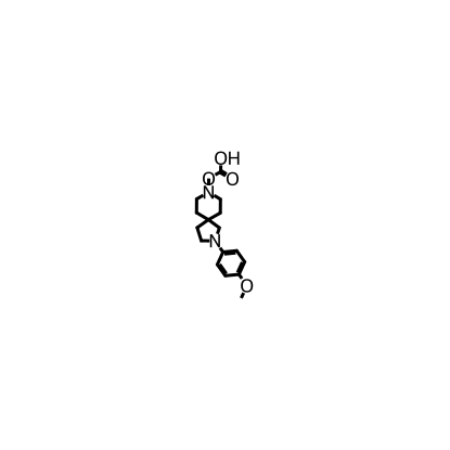 COc1ccc(N2CCC3(CCN(OC(=O)O)CC3)C2)cc1